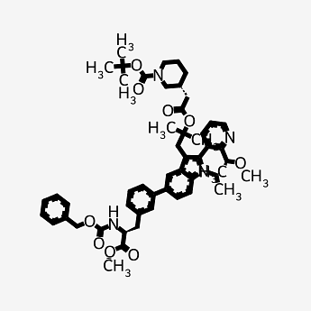 CCn1c(-c2cccnc2[C@H](C)OC)c(CC(C)(C)OC(=O)C[C@H]2CCCN(C(=O)OC(C)(C)C)C2)c2cc(-c3cccc(C[C@H](NC(=O)OCc4ccccc4)C(=O)OC)c3)ccc21